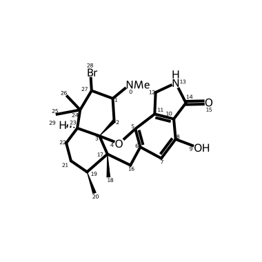 CNC1C[C@@]23Oc4c(cc(O)c5c4CNC5=O)C[C@]2(C)[C@@H](C)CC[C@H]3C(C)(C)C1Br